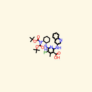 Cc1c(F)c(N[C@@H]2CCCC[C@@H]2N(C(=O)OC(C)(C)C)C(=O)OC(C)(C)C)nc(Nc2cnc3ccccc3c2)c1C(=O)O